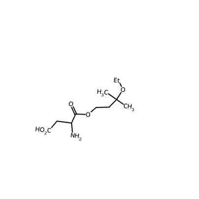 CCOC(C)(C)CCOC(=O)C(N)CC(=O)O